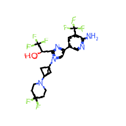 Nc1ncc(-c2cn(C34CC(N5CCC(F)(F)CC5)(C3)C4)c([C@@H](O)C(F)(F)F)n2)cc1C(F)(F)F